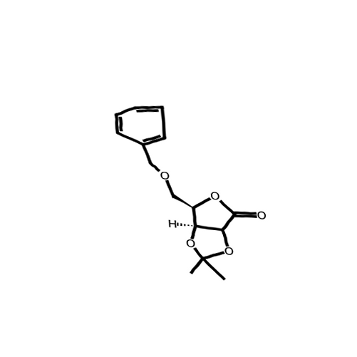 CC1(C)OC2C(=O)O[C@H](COCc3ccccc3)[C@@H]2O1